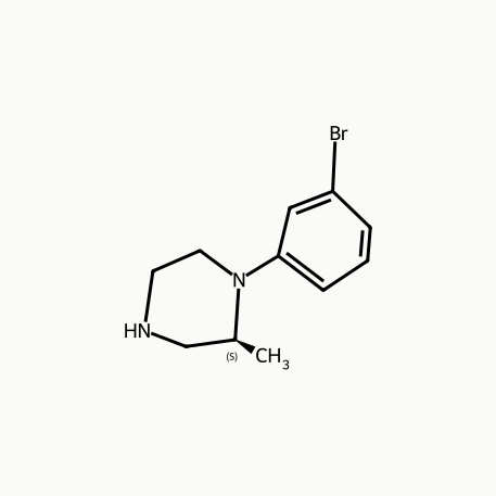 C[C@H]1CNCCN1c1cccc(Br)c1